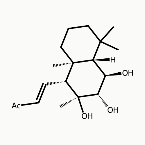 CC(=O)/C=C/[C@H]1[C@](C)(O)[C@@H](O)[C@H](O)[C@H]2C(C)(C)CCC[C@@]21C